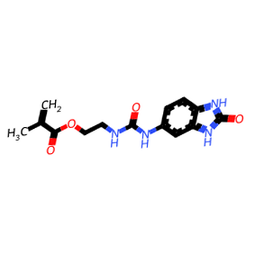 C=C(C)C(=O)OCCNC(=O)Nc1ccc2[nH]c(=O)[nH]c2c1